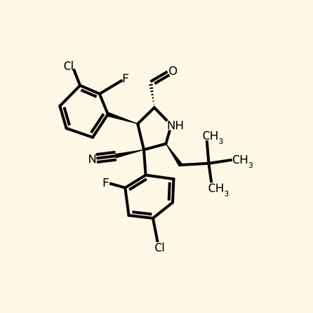 CC(C)(C)C[C@@H]1N[C@@H](C=O)[C@H](c2cccc(Cl)c2F)[C@@]1(C#N)c1ccc(Cl)cc1F